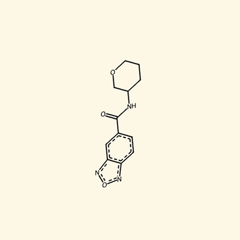 O=C(NC1CCCOC1)c1ccc2nonc2c1